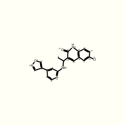 CC(Nc1cc(-c2cnoc2)ccn1)c1cc2cc(Cl)ccc2[nH]c1=O